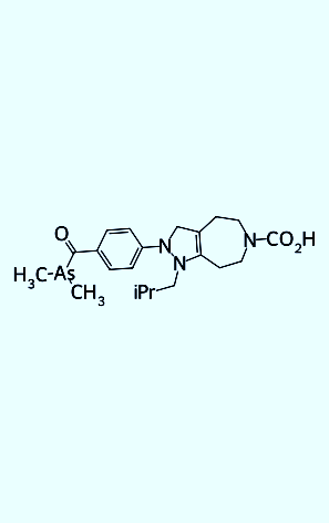 CC(C)CN1C2=C(CCN(C(=O)O)CC2)CN1c1ccc(C(=O)[As](C)C)cc1